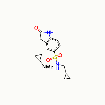 CNC1CC1.O=C1Cc2cc(S(=O)(=O)NCC3CC3)ccc2N1